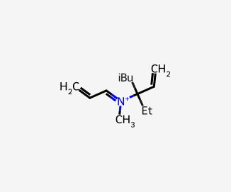 C=C/C=[N+](\C)C(C=C)(CC)C(C)CC